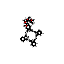 c1ccc2c(c1)-c1nc-2nc2[nH]c(nc3nc(nc4[nH]c(n1)c1ccccc41)-c1ccccc1-3)c1c[c]([Zn]([c]3ccsc3)([c]3ccsc3)([c]3ccsc3)[c]3ccsc3)ccc21